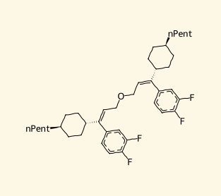 CCCCC[C@H]1CC[C@H](C(=CCOCC=C(c2ccc(F)c(F)c2)[C@H]2CC[C@H](CCCCC)CC2)c2ccc(F)c(F)c2)CC1